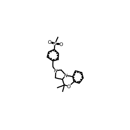 CC1(C)Oc2ccccc2N2CN(Cc3ccc(S(C)(=O)=O)cc3)CC21